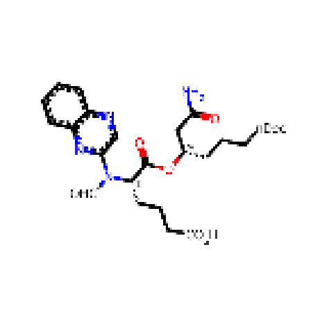 CCCCCCCCCCCCC[C@@H](CC(N)=O)OC(=O)[C@H](CCCC(=O)O)N(C=O)c1cnc2ccccc2n1